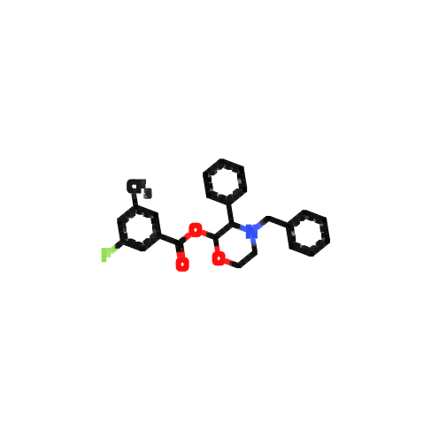 O=C(OC1OCCN(Cc2ccccc2)C1c1ccccc1)c1cc(F)cc(C(F)(F)F)c1